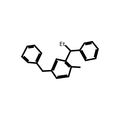 CCC(c1ccccc1)c1cc(Cc2ccccc2)ccc1C